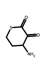 NC1CCSC(=O)C1=O